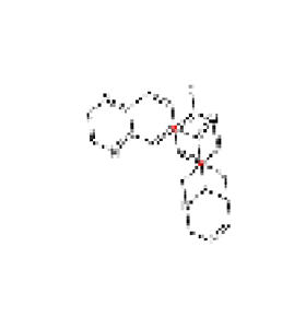 O=C(c1ccc2nccnc2c1)N1CN2CC=CC(O1)C2c1ccc(F)cc1